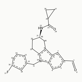 O=Cc1ccc2c(c1)c1c(n2Cc2cccc(F)c2)CC[C@@H](NC(=O)C2CC2)C1